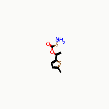 C=C(OC(=O)SN)c1ccc(C)s1